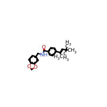 C/C(=C\C(C)(C)C)c1ccc(C(=O)NCc2ccc3c(c2)OCO3)cc1